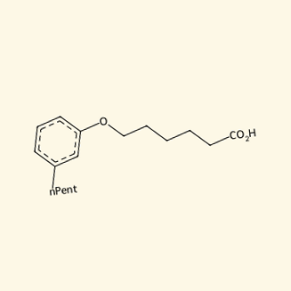 CCCCCc1cccc(OCCCCCC(=O)O)c1